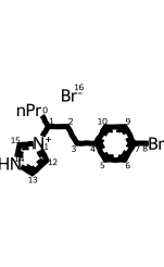 CCCC(CCc1ccc(Br)cc1)[n+]1cc[nH]c1.[Br-]